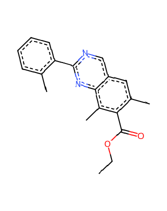 CCOC(=O)c1c(C)cc2cnc(-c3ccccc3C)nc2c1C